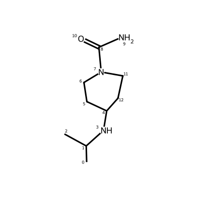 CC(C)NC1CCN(C(N)=O)CC1